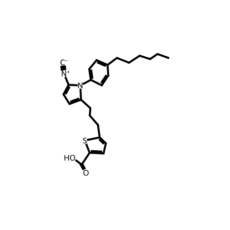 [C-]#[N+]c1ccc(CCCc2ccc(C(=O)O)s2)n1-c1ccc(CCCCCC)cc1